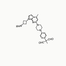 CN[C@H]1C[C@@H](n2ccc3c(C)cc(N4CCN(c5ccc(C(C)(C=O)C=O)cc5)CC4)nc32)C1